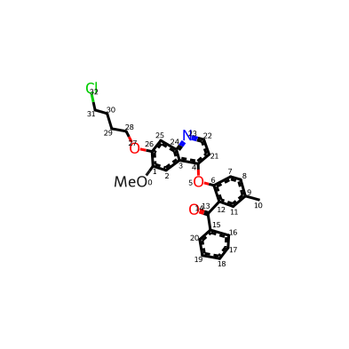 COc1cc2c(Oc3ccc(C)cc3C(=O)c3ccccc3)ccnc2cc1OCCCCCl